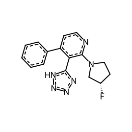 F[C@H]1CCN(c2nccc(-c3ccccc3)c2-c2nnn[nH]2)C1